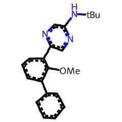 COc1c(-c2ccccc2)cccc1-c1cnc(NC(C)(C)C)cn1